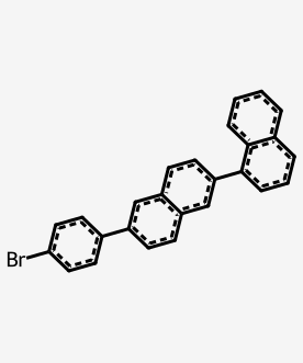 Brc1ccc(-c2ccc3cc(-c4cccc5ccccc45)ccc3c2)cc1